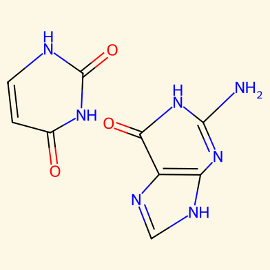 Nc1nc2[nH]cnc2c(=O)[nH]1.O=c1cc[nH]c(=O)[nH]1